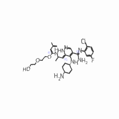 C=C(C)/C=C(\NC(C)/C=C1\NN=CC(C(/N)=N/c2cc(F)ccc2Cl)=C1N[C@H]1CC[C@H](N)CC1)OCCOCCO